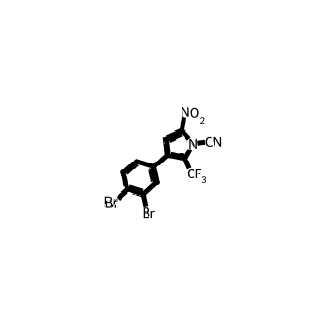 N#Cn1c([N+](=O)[O-])cc(-c2ccc(Br)c(Br)c2)c1C(F)(F)F